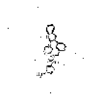 Cn1cnc(S(=O)(=O)NCc2cccc(C(Cc3ccccc3)C(=O)N3CCOCC3)c2)c1